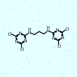 Clc1nc(Cl)nc(NCCCNc2nc(Cl)nc(Cl)n2)n1